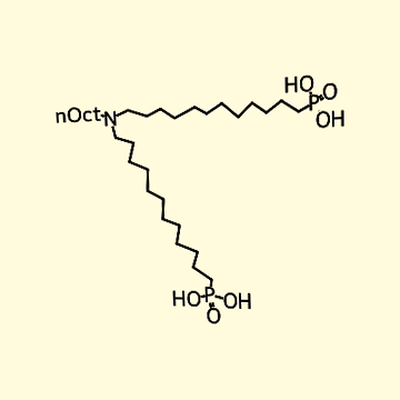 CCCCCCCCN(CCCCCCCCCCCCP(=O)(O)O)CCCCCCCCCCCCP(=O)(O)O